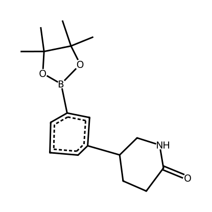 CC1(C)OB(c2cccc(C3CCC(=O)NC3)c2)OC1(C)C